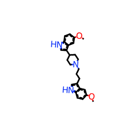 COc1ccc2[nH]cc(CCCN3CCC(c4c[nH]c5ccc(OC)cc45)CC3)c2c1